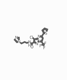 O=C(NCCCn1ccnc1)c1nn2c(C(F)(F)F)cc(-c3cccs3)nc2c1Cl